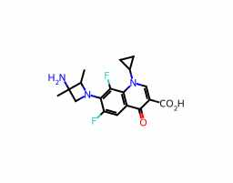 CC1N(c2c(F)cc3c(=O)c(C(=O)O)cn(C4CC4)c3c2F)CC1(C)N